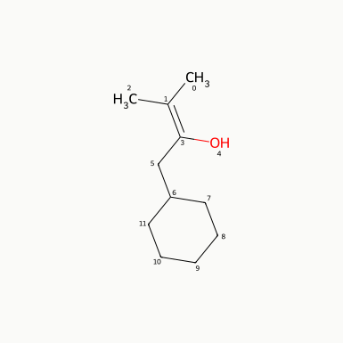 CC(C)=C(O)CC1CCCCC1